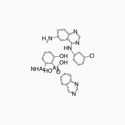 CC(=O)Nc1cccc(O)c1[As](=O)(O)O.Nc1ccc2ncnc(Nc3cccc(Cl)c3)c2c1.c1ccc2ncncc2c1